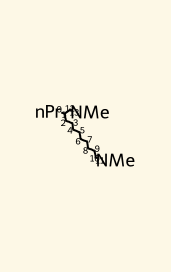 CCCC(CCCCCCCCCNC)CNC